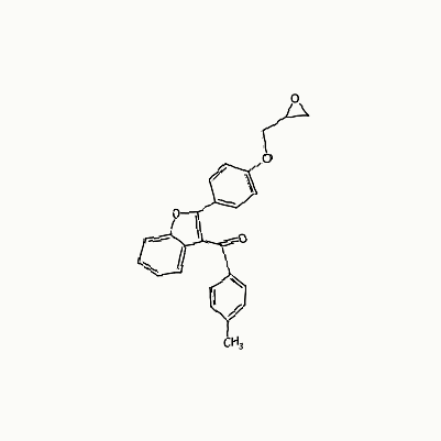 Cc1ccc(C(=O)c2c(-c3ccc(OCC4CO4)cc3)oc3ccccc23)cc1